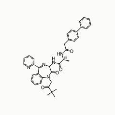 C[C@H](NC(=O)Cc1ccc(-c2ccccc2)cc1)C(=O)NC1N=C(c2ccccn2)c2ccccc2N(CC(=O)C(C)(C)C)C1=O